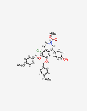 COc1ccc(COc2cc3c(c(Cl)c2OCc2ccc(OC)cc2)CCN(C(=O)OC(C)(C)C)CC3c2ccc(O)cc2)cc1